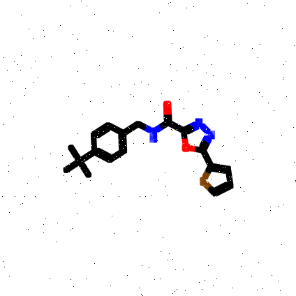 CC(C)(C)c1ccc(CNC(=O)c2nnc(-c3cccs3)o2)cc1